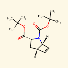 CC(C)(C)OC(=O)[C@H]1C[C@H]2C=C[C@H]2N1C(=O)OC(C)(C)C